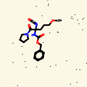 CCCCOCCCC(N=C=O)(NC(=O)OCc1ccccc1)C(=O)N1CCCC1